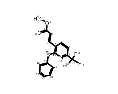 COC(=O)C=Cc1ccc(C(F)(F)F)nc1Sc1ccccc1